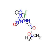 CN(C)C(=O)CCC(=O)N1CC[C@H](CNc2cc(-n3c(C(F)F)nc4ccccc43)nc(N3CCOCC3)n2)C1